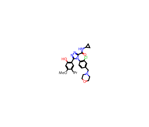 COc1cc(O)c(-c2nnc(C(=O)NC3CC3)n2-c2ccc(CN3CCOCC3)cc2Cl)cc1C(C)C